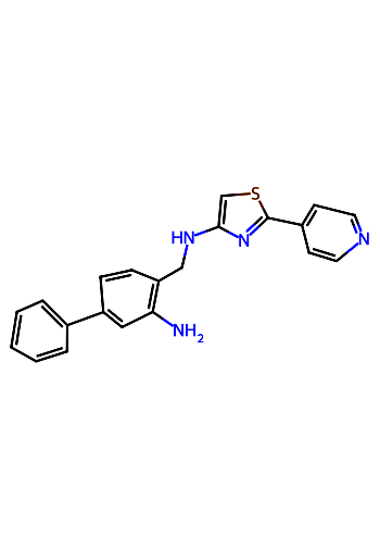 Nc1cc(-c2ccccc2)ccc1CNc1csc(-c2ccncc2)n1